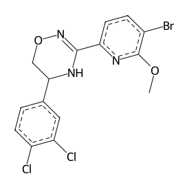 COc1nc(C2=NOCC(c3ccc(Cl)c(Cl)c3)N2)ccc1Br